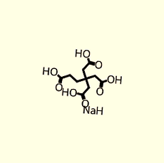 O=C(O)CCC(CC(=O)O)(CC(=O)O)CC(=O)O.[NaH]